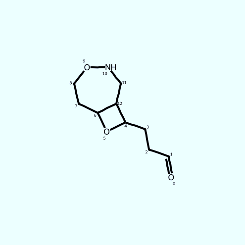 O=CCCC1OC2CCONCC12